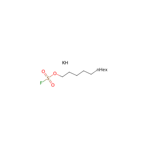 CCCCCCCCCCCOS(=O)(=O)F.[KH]